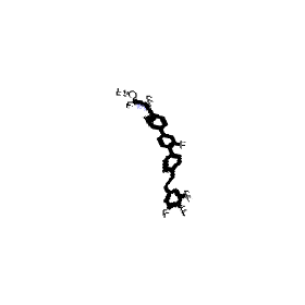 CCO/C(F)=C(\F)c1ccc(-c2ccc(-c3ccc(CCc4cc(F)c(F)c(F)c4)cc3)c(F)c2)cc1